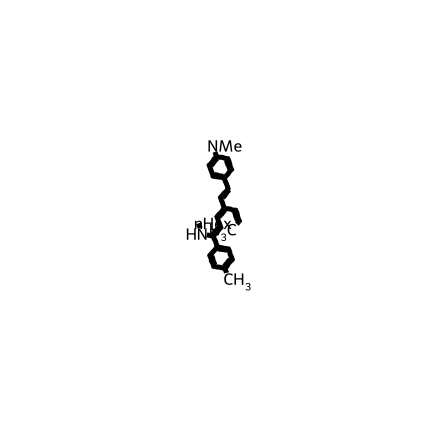 C\C=C/C(/C=C/c1ccc(NC)cc1)=C\C=C(/NCCCCCC)c1ccc(C)cc1